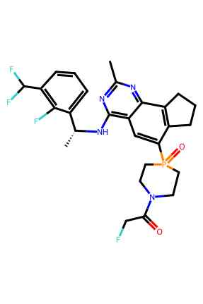 Cc1nc(N[C@H](C)c2cccc(C(F)F)c2F)c2cc(P3(=O)CCN(C(=O)CF)CC3)c3c(c2n1)CCC3